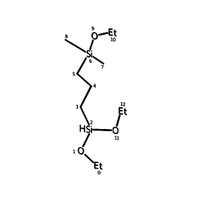 CCO[SiH](CCC[Si](C)(C)OCC)OCC